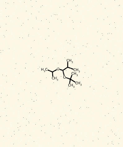 CC(C)OC(OC(C)(C)C)C(C)C